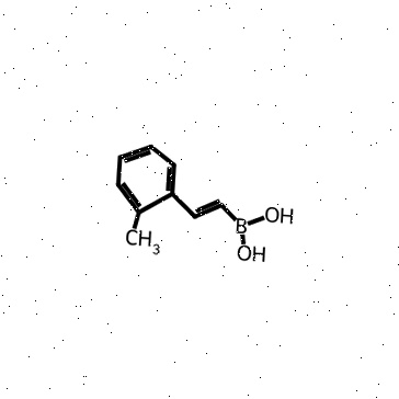 Cc1ccccc1/C=C/B(O)O